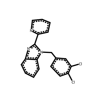 Clc1ccc(Cn2c(-c3ccccn3)nc3ccccc32)cc1Cl